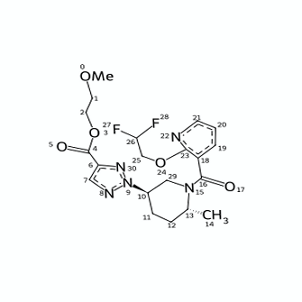 COCCOC(=O)c1cnn([C@@H]2CC[C@@H](C)N(C(=O)c3cccnc3OCC(F)F)C2)n1